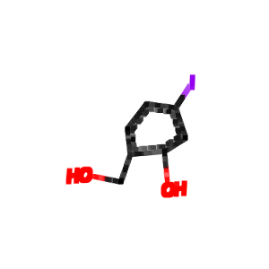 OCc1ccc(I)cc1O